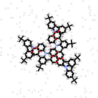 CC(C)(C)c1cc(-c2ccccc2)c(N2c3cc(-n4c5ccc(C(C)(C)C)cc5c5cc(C(C)(C)C)ccc54)ccc3B3c4ccc(-n5c6ccc(C(C)(C)C)cc6c6cc(C(C)(C)C)ccc65)cc4N(c4c(-c5ccccc5)cc(C(C)(C)C)cc4-c4ccccc4)c4cc(-c5ccc6c(c5)c5cc(C(C)(C)C)cc7c8cc(C(C)(C)C)ccc8n6c57)cc2c43)c(-c2ccccc2)c1